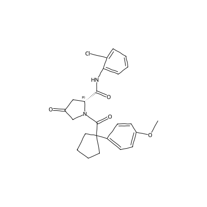 COc1ccc(C2(C(=O)N3CC(=O)C[C@@H]3C(=O)Nc3ccccc3Cl)CCCC2)cc1